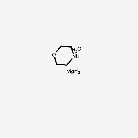 C1COCCN1.O.[MgH2]